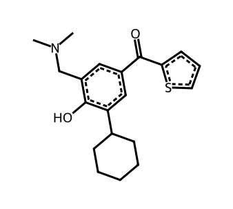 CN(C)Cc1cc(C(=O)c2cccs2)cc(C2CCCCC2)c1O